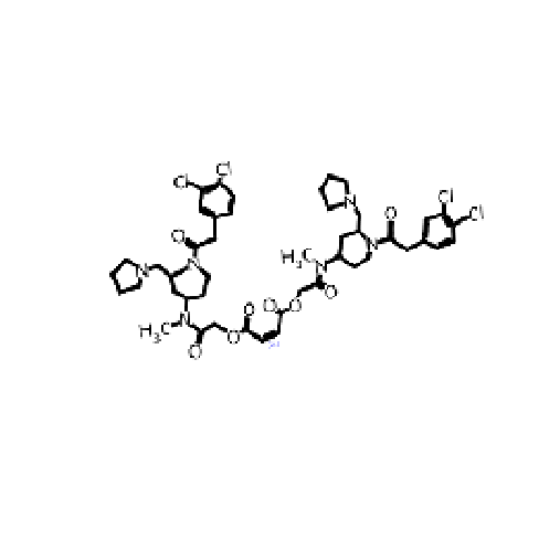 CN(C(=O)COC(=O)/C=C\C(=O)OCC(=O)N(C)C1CCN(C(=O)Cc2ccc(Cl)c(Cl)c2)C(CN2CCCC2)C1)C1CCN(C(=O)Cc2ccc(Cl)c(Cl)c2)C(CN2CCCC2)C1